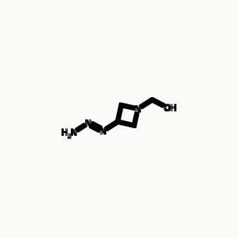 NN=NC1CN(CO)C1